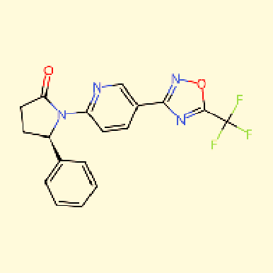 O=C1CC[C@H](c2ccccc2)N1c1ccc(-c2noc(C(F)(F)F)n2)cn1